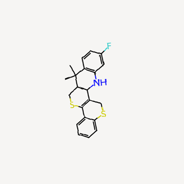 CC1(C)c2ccc(F)cc2NC2C3=C(SCC21)c1ccccc1SC3